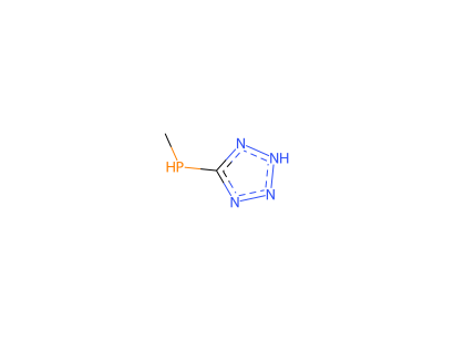 CPc1nn[nH]n1